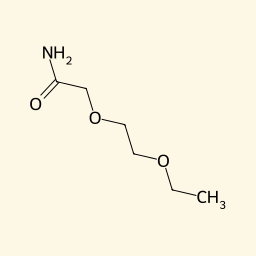 CCOCCOCC(N)=O